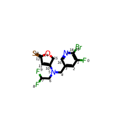 Fc1cc(CN(CC(F)F)C2=CC(=S)OC2)cnc1Br